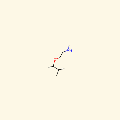 CNCCOC(C)C(C)C